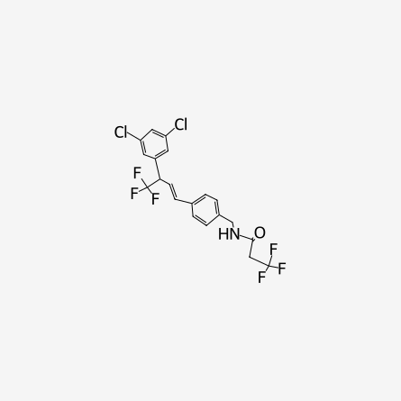 O=C(CC(F)(F)F)NCc1ccc(/C=C/C(c2cc(Cl)cc(Cl)c2)C(F)(F)F)cc1